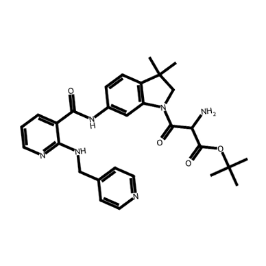 CC(C)(C)OC(=O)C(N)C(=O)N1CC(C)(C)c2ccc(NC(=O)c3cccnc3NCc3ccncc3)cc21